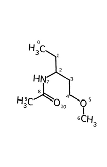 CCC(CCOC)NC(C)=O